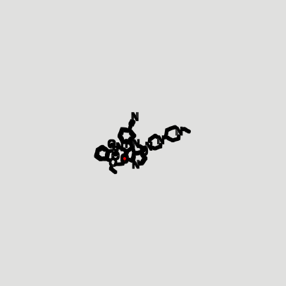 CCOc1ccccc1S(=O)(=O)N1C(=O)C(NC(=O)N2CCN(C3CCN(CC)CC3)CC2)(c2cccnc2OCC)c2cc(C#N)ccc21